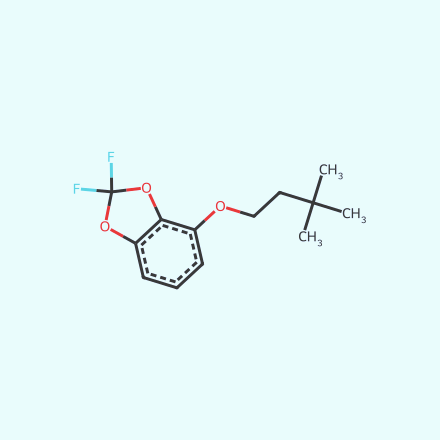 CC(C)(C)CCOc1cccc2c1OC(F)(F)O2